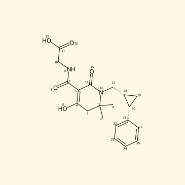 CC1(C)CC(O)=C(C(=O)NCC(=O)O)C(=O)N1C[C@@H]1C[C@@H]1c1ccccc1